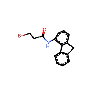 O=C(CCBr)Nc1cccc2c1-c1ccccc1C2